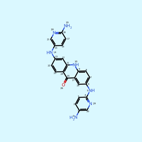 Nc1ccc(Nc2ccc3[nH]c4cc(Nc5ccc(N)nc5)ccc4c(=O)c3c2)nc1